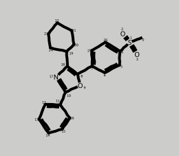 CS(=O)(=O)c1ccc(-c2oc(-c3ccccc3)nc2C2CCCCC2)cc1